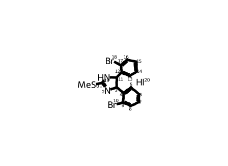 CSC1=NC(c2ccccc2Br)C(c2ccccc2Br)N1.I